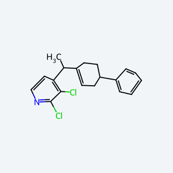 CC(C1=CCC(c2ccccc2)CC1)c1ccnc(Cl)c1Cl